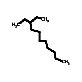 C[CH]C(CC)CCCCCCCC